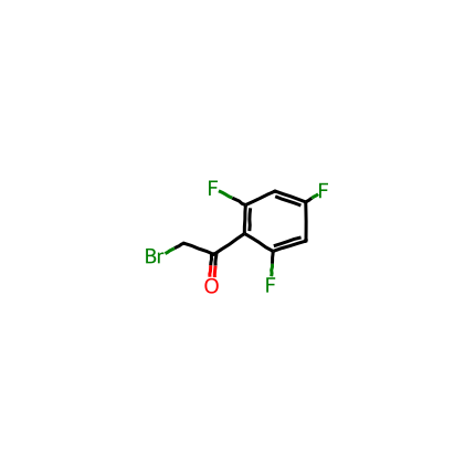 O=C(CBr)c1c(F)cc(F)cc1F